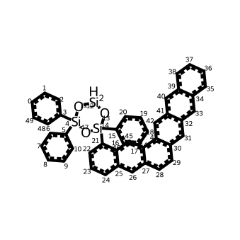 c1ccc([Si]2(c3ccccc3)O[SiH2]O[Si](c3ccccc3)(c3cccc4cc5ccc6cc7cc8ccccc8cc7cc6c5cc34)O2)cc1